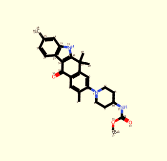 Cc1cc2c(cc1N1CCC(NC(=O)OC(C)(C)C)CC1)C(C)(C)c1[nH]c3cc(C#N)ccc3c1C2=O